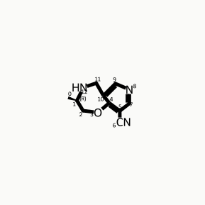 C[C@@H]1COc2c(C#N)cncc2CN1